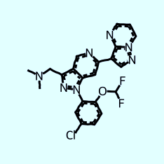 CN(C)Cc1nn(-c2cc(Cl)ccc2OC(F)F)c2cc(-c3cnn4cccnc34)ncc12